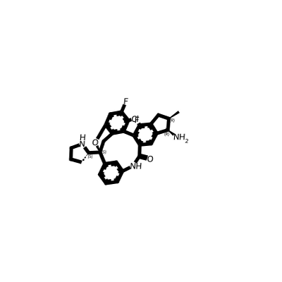 C[C@@H]1Cc2c(cc3c(c2F)-c2c(Cl)c(F)cc4c2C[C@]([C@@H]2CCCN2)(O4)c2cccc(c2)NC3=O)[C@@H]1N